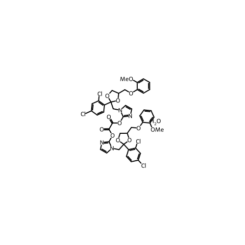 COc1ccccc1OCC1COC(Cn2ccnc2OC(=O)C(=O)Oc2nccn2CC2(c3ccc(Cl)cc3Cl)OCC(COc3ccccc3OC)O2)(c2ccc(Cl)cc2Cl)O1.O